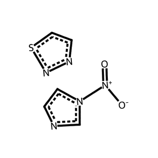 O=[N+]([O-])n1ccnc1.c1csnn1